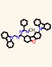 C=N/C(=N\C(=N/Cn1c2ccccc2c2ccccc21)c1ccc2oc3ccc(-n4c5ccccc5c5ccccc54)cc3c2c1)c1ccccc1